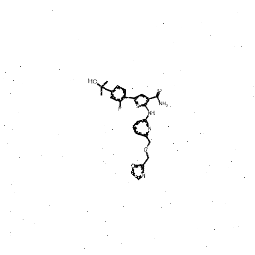 CC(C)(O)c1ccc(-c2cc(C(N)=O)c(Nc3cccc(COCc4ncco4)n3)s2)c(F)c1